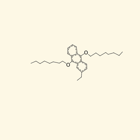 CCCCCCCCOc1c2ccccc2c(OCCCCCCCC)c2cc(CC)ccc12